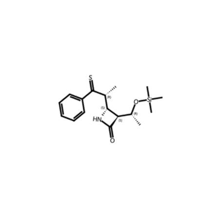 C[C@@H](O[Si](C)(C)C)[C@H]1C(=O)N[C@@H]1[C@@H](C)C(=S)c1ccccc1